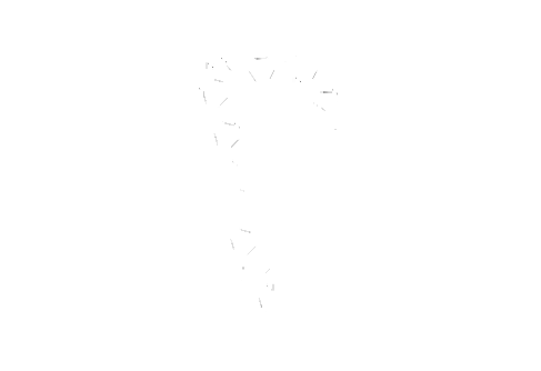 Cc1cc(-c2n[nH]c3ncc(-c4ccc(N5CCN(CCc6ccc([C@H]7CCC(=O)NC7=O)cc6)CC5)cn4)cc23)ccc1[C@@H](C)NC(=O)c1noc(C(C)(C)C)n1